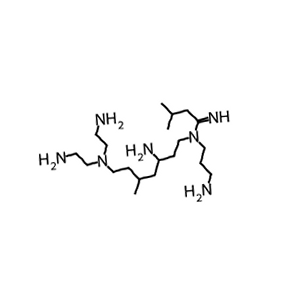 CC(C)CC(=N)N(CCCN)CCC(N)CC(C)CCN(CCN)CCN